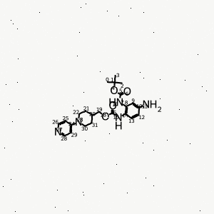 CC(C)(C)OC(=O)Nc1cc(N)ccc1NC(=O)OCC1CCN(c2ccncc2)CC1